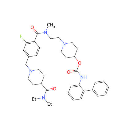 CCN(CC)C(=O)C1CCN(Cc2ccc(C(=O)N(C)CCN3CCC(OC(=O)Nc4ccccc4-c4ccccc4)CC3)c(F)c2)CC1